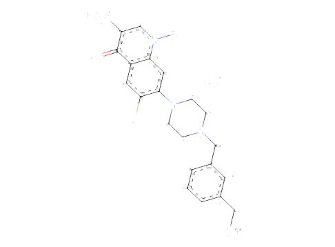 CCn1cc(C(=O)O)c(=O)c2cc(F)c(N3CCN(Cc4cccc(COC)c4)CC3)cc21.Cl